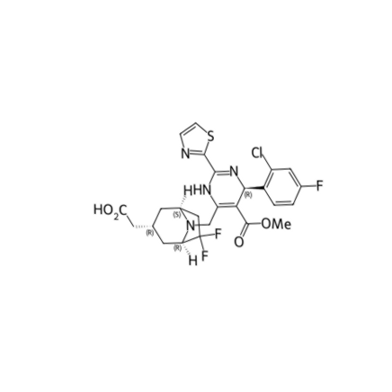 COC(=O)C1=C(CN2[C@H]3C[C@@H](CC(=O)O)C[C@@H]2C(F)(F)C3)NC(c2nccs2)=N[C@H]1c1ccc(F)cc1Cl